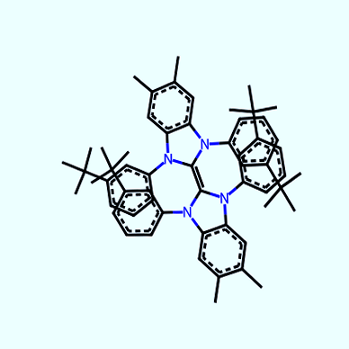 Cc1cc2c(cc1C)N(c1cccc(C(C)(C)C)c1)C(=C1N(c3cccc(C(C)(C)C)c3)c3cc(C)c(C)cc3N1c1cccc(C(C)(C)C)c1)N2c1cccc(C(C)(C)C)c1